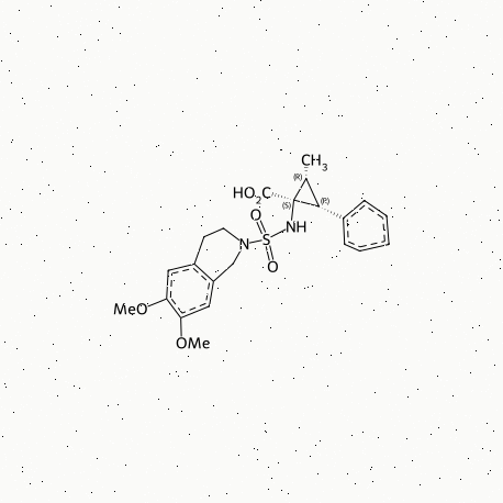 COc1cc2c(cc1OC)CN(S(=O)(=O)N[C@@]1(C(=O)O)[C@H](C)[C@@H]1c1ccccc1)CC2